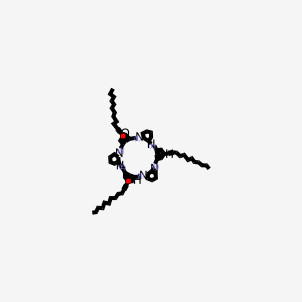 CCCCCCCCCCC#Cc1cc2c(O)c(c1)/C=N/C1CCCCC1/N=C/c1cc(C#CCCCCCCCCCC)cc(c1N=O)/C=N/C1CCCCC1/N=C/c1cc(C#CCCCCCCCCCC)cc(c1O)/C=N/C1CCCCC1/N=C/2